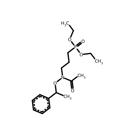 CCOP(=O)(CCCN(OC(C)c1ccccc1)C(C)=O)OCC